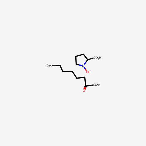 CCCCCCCCCCCCCCCC(=O)OC(C)=O.O=C(O)C1CCCN1O